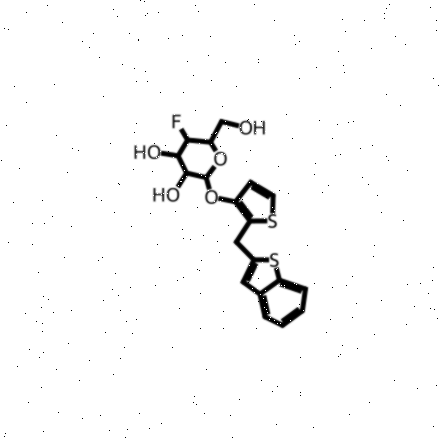 OCC1OC(Oc2ccsc2Cc2cc3ccccc3s2)C(O)C(O)C1F